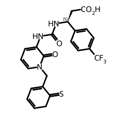 O=C(O)C[C@H](NC(=O)Nc1cccn(CC2=CC=CCC2=S)c1=O)c1ccc(C(F)(F)F)cc1